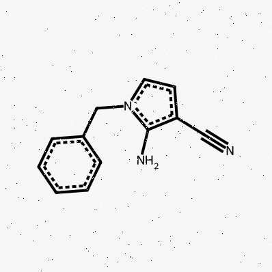 N#Cc1ccn(Cc2ccccc2)c1N